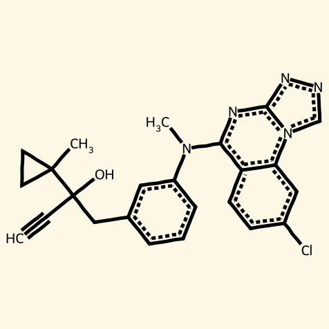 C#CC(O)(Cc1cccc(N(C)c2nc3nncn3c3cc(Cl)ccc23)c1)C1(C)CC1